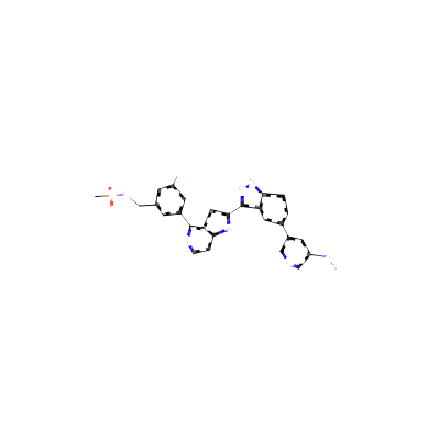 CC(C)Nc1cncc(-c2ccc3[nH]nc(-c4cc5c(-c6cc(F)cc(CNS(C)(=O)=O)c6)nccc5[nH]4)c3c2)c1